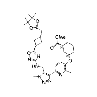 COC(=O)[C@H]1CCC[C@H](Oc2ccc(-c3nnn(C)c3CNc3noc(C4CC(CB5OC(C)(C)C(C)(C)O5)C4)n3)nc2C)C1